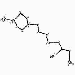 CCC(O)COCCCN1CCN(C)CC1